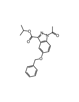 CC(=O)n1nc(C(=O)OC(C)C)c2cc(OCc3ccccc3)ccc21